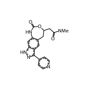 CNC(=O)CC1Cc2cc3c(-c4ccncc4)n[nH]c3cc2NC(=O)O1